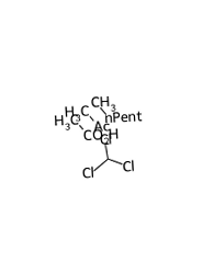 CC(=O)O.CC(C)=O.CCCCCC.ClC(Cl)Cl